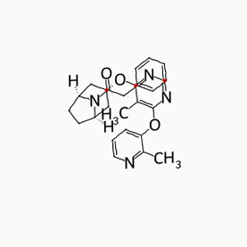 Cc1ncccc1Oc1ncnc(O[C@@H]2C[C@H]3CC[C@@H](C2)N3C(=O)Cc2ccccc2)c1C